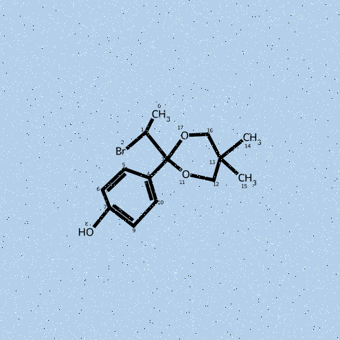 CC(Br)C1(c2ccc(O)cc2)OCC(C)(C)CO1